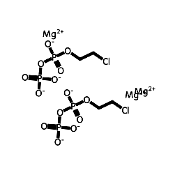 O=P([O-])([O-])OP(=O)([O-])OCCCl.O=P([O-])([O-])OP(=O)([O-])OCCCl.[Mg+2].[Mg+2].[Mg+2]